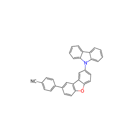 N#Cc1ccc(-c2ccc3oc4ccc(-n5c6ccccc6c6ccccc65)cc4c3c2)cc1